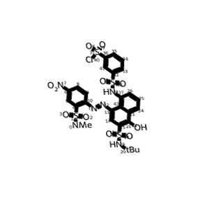 CNS(=O)(=O)c1cc([N+](=O)[O-])ccc1/N=N/c1cc(S(=O)(=O)NC(C)(C)C)c(O)c2cccc(NS(=O)(=O)c3cccc(S(=O)(=O)Cl)c3)c12